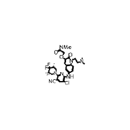 CNC(=O)COc1cc2cc(Nc3nc(N4C[C@@H](C)C(F)(F)[C@@H](C)C4)c(C#N)cc3Cl)ccc2n(CCN(C)C)c1=O